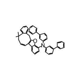 CC1(C)C/C=C\c2c(oc3c(N(c4cccc(-c5ccccc5)c4)c4cccc(-c5ccccc5)c4)cccc23)Cc2ccccc21